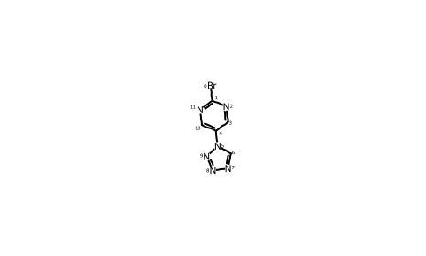 Brc1ncc(-n2cnnn2)cn1